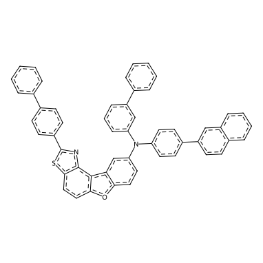 c1ccc(-c2ccc(-c3nc4c(ccc5oc6ccc(N(c7ccc(-c8ccc9ccccc9c8)cc7)c7cccc(-c8ccccc8)c7)cc6c54)s3)cc2)cc1